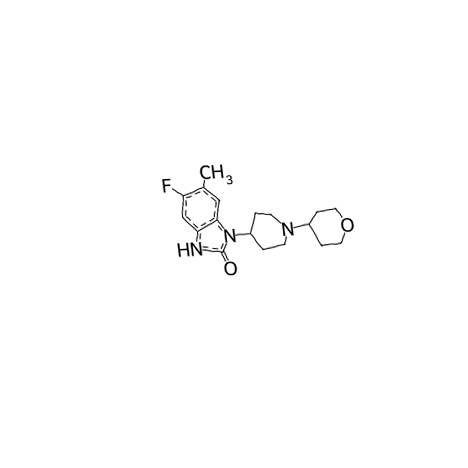 Cc1cc2c(cc1F)[nH]c(=O)n2C1CCN(C2CCOCC2)CC1